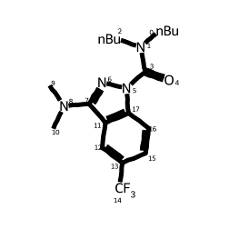 CCCCN(CCCC)C(=O)n1nc(N(C)C)c2cc(C(F)(F)F)ccc21